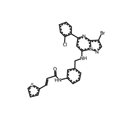 O=C(/C=C/c1cccs1)Nc1cccc(CNc2cc(-c3ccccc3Cl)nc3c(Br)cnn23)c1